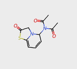 CC(=O)N(C(C)=O)C1C=CC=C2SC(=O)CN21